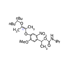 CCCCC(CCCC)O/C(C)=C(\C)Oc1cc([N+](=O)[O-])c(C(C)OC(=O)NC(C)C)cc1OC